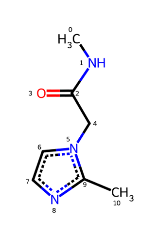 CNC(=O)Cn1ccnc1C